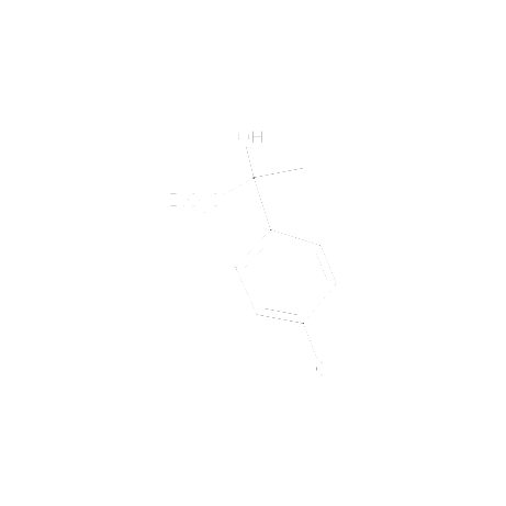 CCOC(=O)C(C)(O)c1ccc(Cl)cc1